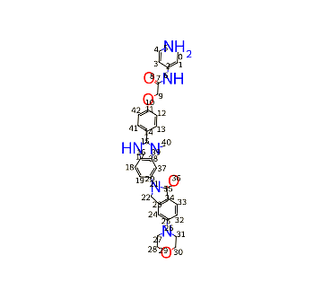 C/C=C(\C=C/N)NC(=O)COc1ccc(C2Nc3ccc(N4Cc5cc(N6CCOCC6)ccc5C4=O)cc3N2C)cc1